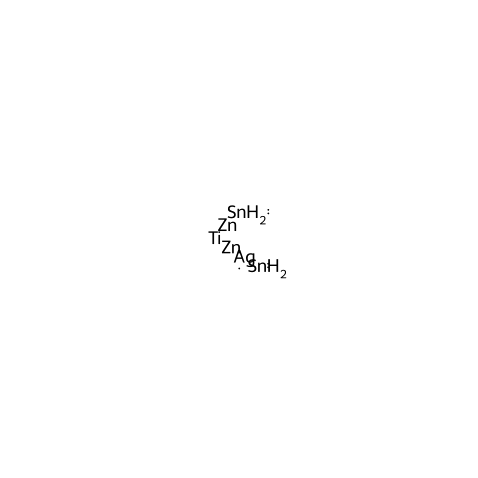 [Ag].[SnH2].[SnH2].[Ti].[Zn].[Zn]